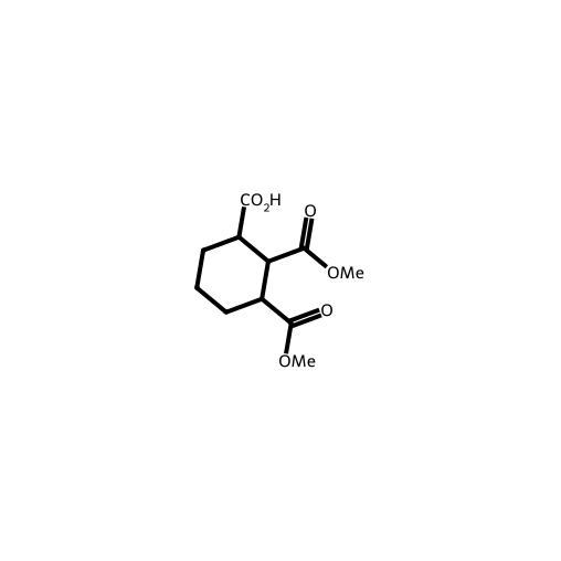 COC(=O)C1CCCC(C(=O)O)C1C(=O)OC